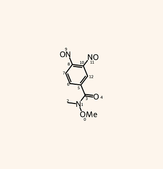 CON(C)C(=O)c1ccc(N=O)c(N=O)c1